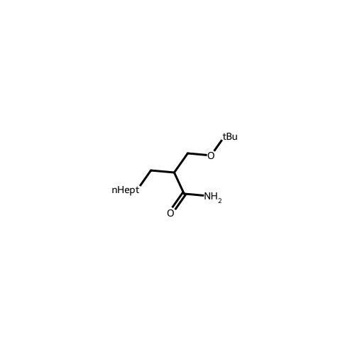 CCCCCCCCC(COC(C)(C)C)C(N)=O